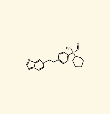 C[N+](C=O)(c1ccc(CCn2ccc3ncnc-3c2)cc1)C1CCCCC1